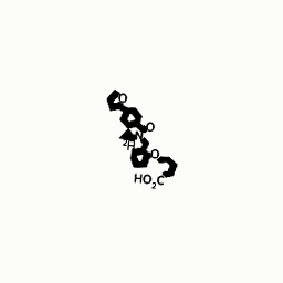 [2H]C1(N(Cc2ccccc2OCC/C=C\CC(=O)O)C(=O)c2ccc(-c3ccco3)cc2)CC1